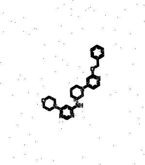 c1ccc(COc2cc(N3CCC[C@@H](Nc4cc(N5CCOCC5)ncn4)C3)ccn2)cc1